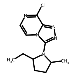 CCC1CCC(C)N1c1nnc2c(Cl)nccn12